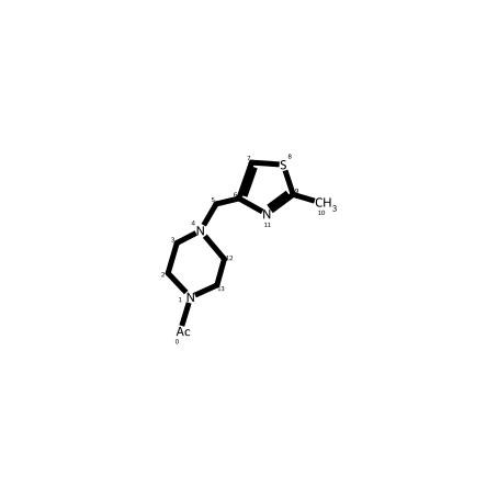 CC(=O)N1CCN(Cc2csc(C)n2)CC1